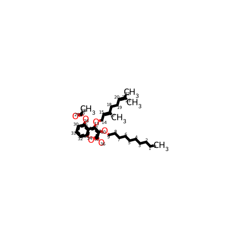 CCCCCCCCCCOc1c(OC/C=C(\C)CCC=C(C)C)c2c(OC(C)=O)cccc2oc1=O